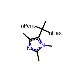 CCCCCCC(C)(CCCCC)c1c(C)nc(C)n1C